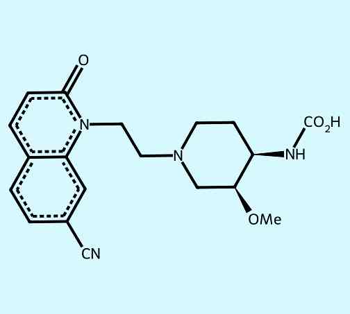 CO[C@H]1CN(CCn2c(=O)ccc3ccc(C#N)cc32)CC[C@H]1NC(=O)O